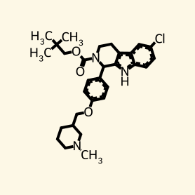 CN1CCCC(COc2ccc(C3c4[nH]c5ccc(Cl)cc5c4CCN3C(=O)OCC(C)(C)C)cc2)C1